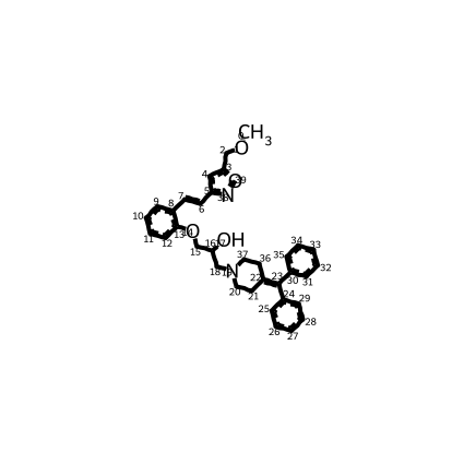 COCc1cc(C=Cc2ccccc2OCC(O)CN2CCC(=C(c3ccccc3)c3ccccc3)CC2)no1